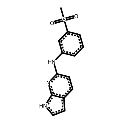 CS(=O)(=O)c1cccc(Nc2ccc3cc[nH]c3n2)c1